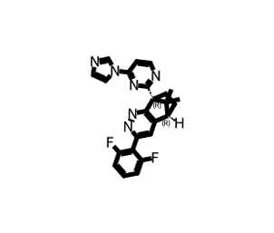 CC1(C)[C@H]2CC[C@]1(c1nccc(-n3ccnc3)n1)c1nnc(-c3c(F)cccc3F)cc12